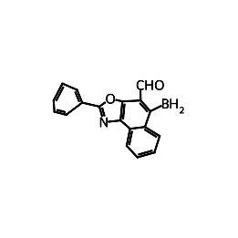 Bc1c(C=O)c2oc(-c3ccccc3)nc2c2ccccc12